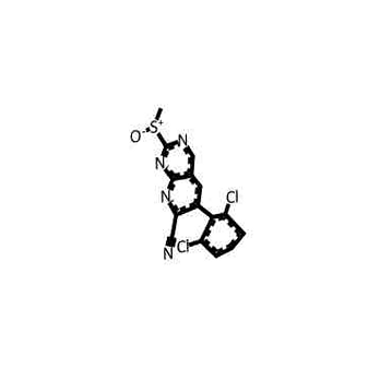 C[S+]([O-])c1ncc2cc(-c3c(Cl)cccc3Cl)c(C#N)nc2n1